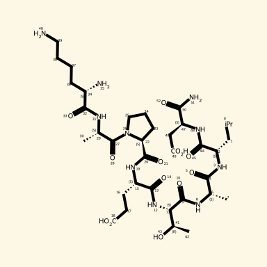 CC(C)C[C@H](NC(=O)[C@H](C)NC(=O)[C@@H](NC(=O)[C@H](CCC(=O)O)NC(=O)[C@@H]1CCCN1C(=O)[C@H](C)NC(=O)[C@@H](N)CCCCN)[C@@H](C)O)C(=O)N[C@@H](CC(=O)O)C(N)=O